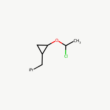 C[C](Cl)OC1CC1CC(C)C